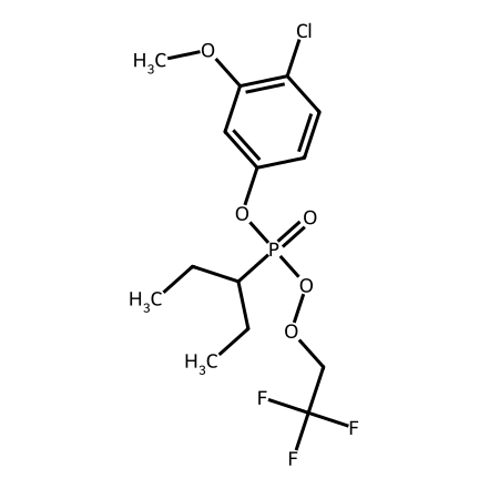 CCC(CC)P(=O)(OOCC(F)(F)F)Oc1ccc(Cl)c(OC)c1